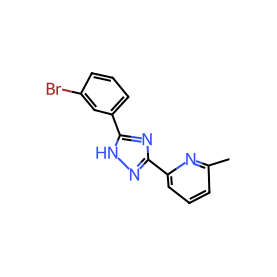 Cc1cccc(-c2n[nH]c(-c3cccc(Br)c3)n2)n1